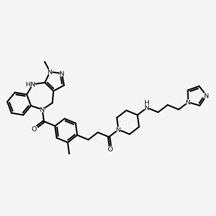 Cc1cc(C(=O)N2Cc3cnn(C)c3Nc3ccccc32)ccc1CCC(=O)N1CCC(NCCCn2ccnc2)CC1